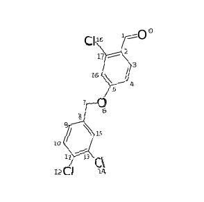 O=Cc1ccc(OCc2ccc(Cl)c(Cl)c2)cc1Cl